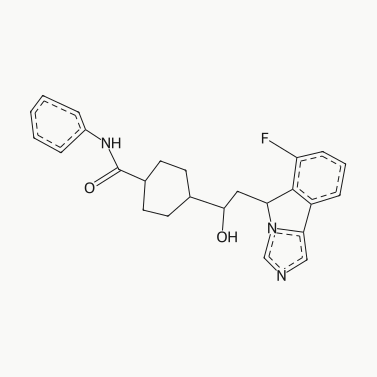 O=C(Nc1ccccc1)C1CCC(C(O)CC2c3c(F)cccc3-c3cncn32)CC1